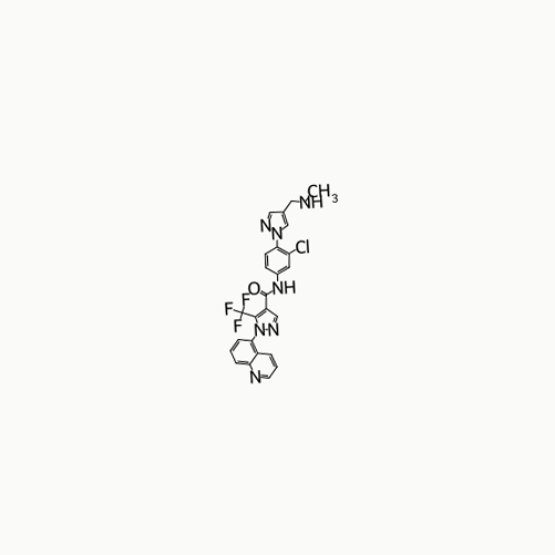 CNCc1cnn(-c2ccc(NC(=O)c3cnn(-c4cccc5ncccc45)c3C(F)(F)F)cc2Cl)c1